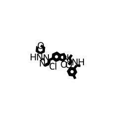 Cc1cccc(C(C)NC(=O)C(C)N2Cc3ccc(-c4nc(NC5CCOCC5)ncc4Cl)cc3C2=O)c1